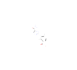 Cc1ccc(C(=O)O)c(C)c1-c1ncc(C(=O)N(C)C)[nH]1